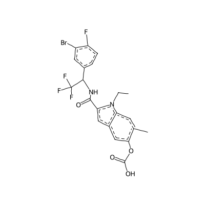 CCn1c(C(=O)NC(c2ccc(F)c(Br)c2)C(F)(F)F)cc2cc(OC(=O)O)c(C)cc21